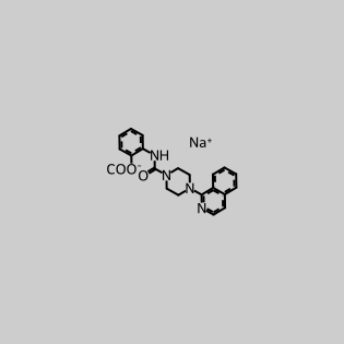 O=C([O-])c1ccccc1NC(=O)N1CCN(c2nccc3ccccc23)CC1.[Na+]